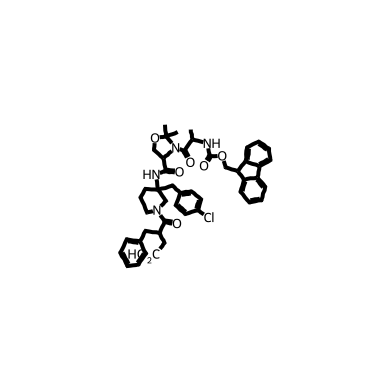 CC(NC(=O)OCC1c2ccccc2-c2ccccc21)C(=O)N1C(C(=O)NC2(Cc3ccc(Cl)cc3)CCCN(C(=O)C(CC(=O)O)Cc3ccccc3)C2)COC1(C)C